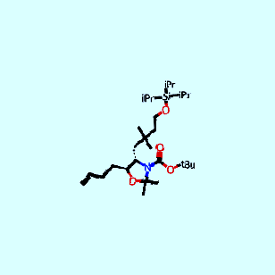 C=CCC[C@@H]1OC(C)(C)N(C(=O)OC(C)(C)C)[C@H]1CC(C)(C)CCO[Si](C(C)C)(C(C)C)C(C)C